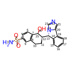 NS(=O)(=O)c1ccc2c(c1)CC[C@H]([C@H]1c3ccccc3-c3cncn31)[C@@H]2O